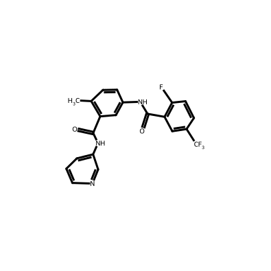 Cc1ccc(NC(=O)c2cc(C(F)(F)F)ccc2F)cc1C(=O)Nc1cccnc1